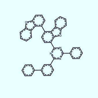 c1ccc(-c2cccc(-c3nc(-c4ccccc4)nc(-c4ccc(-c5cccc6oc7ccccc7c56)c5c4oc4ccccc45)n3)c2)cc1